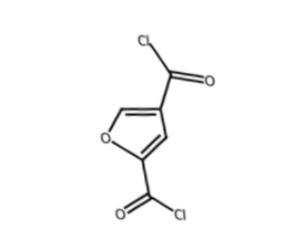 O=C(Cl)c1coc(C(=O)Cl)c1